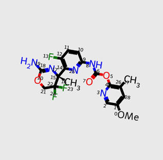 COc1cnc(OC(=O)Nc2ccc(F)c([C@@]3(C)N=C(N)OCC3(F)F)n2)c(C)c1